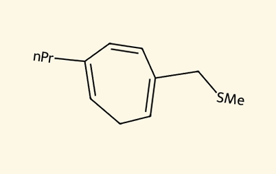 CCCC1=CCC=C(CSC)C=C1